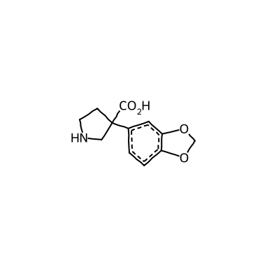 O=C(O)C1(c2ccc3c(c2)OCO3)CCNC1